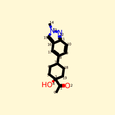 CC(=O)C1(O)CCC(c2ccc3nn(C)cc3c2)CC1